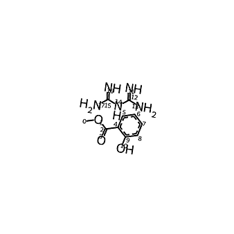 COC(=O)c1ccccc1O.N=C(N)NC(=N)N